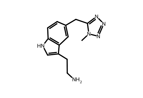 Cn1nnnc1Cc1ccc2[nH]cc(CCN)c2c1